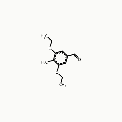 CCOc1cc(C=O)cc(OCC)c1C